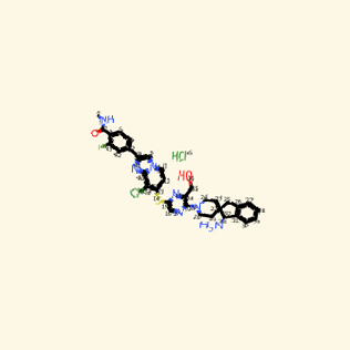 CNC(=O)c1ccc(-c2cn3ccc(Sc4cnc(N5CCC6(CC5)Cc5ccccc5[C@H]6N)c(CO)n4)c(Cl)c3n2)cc1F.Cl